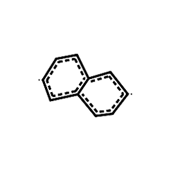 [c]1ccc2c[c]ccc2c1